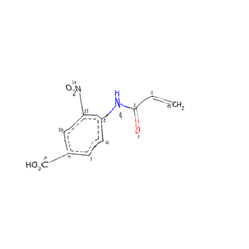 C=CC(=O)Nc1ccc(C(=O)O)cc1[N+](=O)[O-]